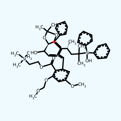 COCOc1cc(OC)cc(/C=C/C[C@@H]2OC(C)(C)O[C@@H]2C(O)/C=C\C(=C\c2ccccc2)[C@H](C)CC(C)(C)[Si](O)(c2ccccc2)c2ccccc2)c1C(=O)OCC[Si](C)(C)C